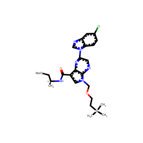 COC[C@H](C)NC(=O)c1cn(COCC[Si](C)(C)C)c2ncc(-n3cnc4cc(Cl)ccc43)nc12